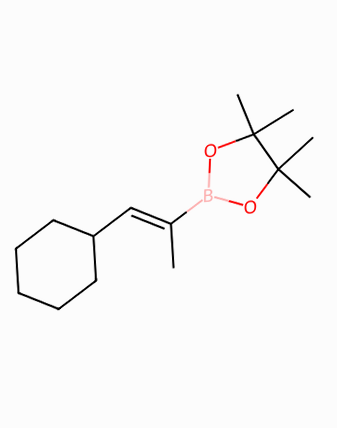 CC(=CC1CCCCC1)B1OC(C)(C)C(C)(C)O1